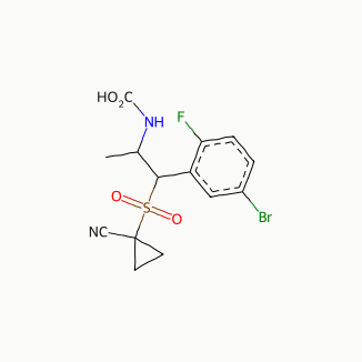 CC(NC(=O)O)C(c1cc(Br)ccc1F)S(=O)(=O)C1(C#N)CC1